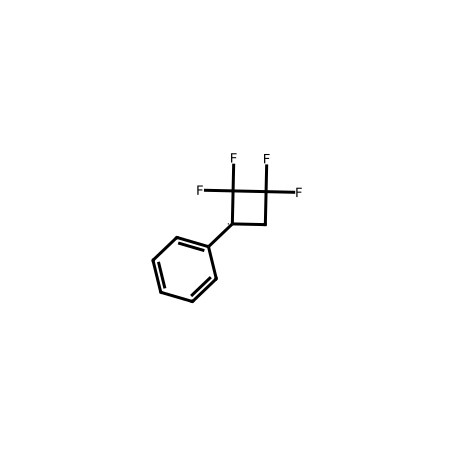 FC1(F)C[C](c2ccccc2)C1(F)F